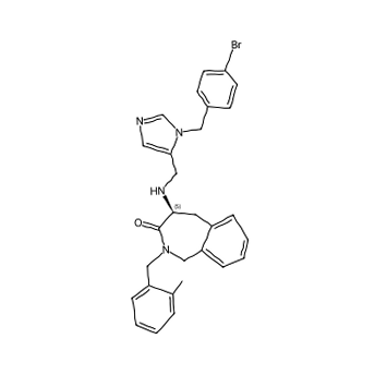 Cc1ccccc1CN1Cc2ccccc2C[C@H](NCc2cncn2Cc2ccc(Br)cc2)C1=O